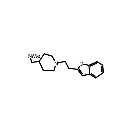 CNCC1CCN(CCc2cc3ccccc3o2)CC1